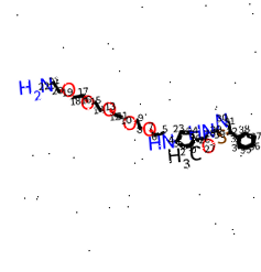 Cc1cc(NCCOCCOCCOCCOCCOCCN)ccc1C(=O)NC1=NCC(c2ccccc2)S1